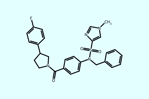 Cn1cnc(S(=O)(=O)N(Cc2ccccc2)c2ccc(C(=O)N3CCC(c4ccc(F)cc4)C3)cc2)c1